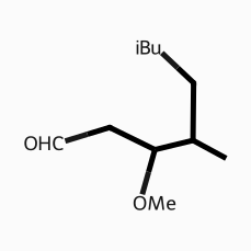 CCC(C)CC(C)C(CC=O)OC